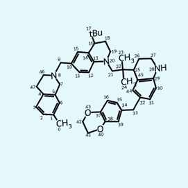 Cc1ccc2c(c1)CN(Cc1ccc3c(c1)C(C(C)(C)C)CCN3CC(C)(C)C1CCNc3ccc(Cc4ccc5c(c4)OCCO5)cc31)CC2